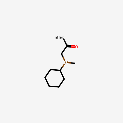 CCCCCCC(=O)C[S+](C)C1CCCCC1